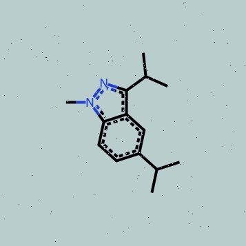 CC(C)c1ccc2c(c1)c(C(C)C)nn2C